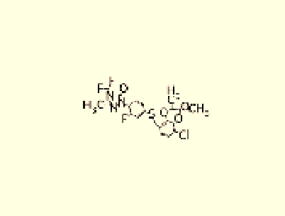 COC(=O)C(C)Oc1cc(Cl)ccc1CSc1ccc(-n2nc(C)n(C(F)F)c2=O)c(F)c1